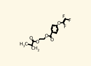 C=C(C)C(=O)OCCOC(=O)c1ccc(OC(F)=C(F)F)cc1